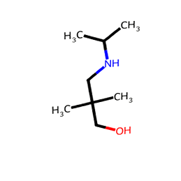 CC(C)NCC(C)(C)CO